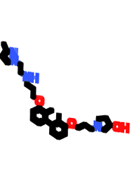 Cc1ccn(CCNCCCOc2cccc(-c3cccc(OCCCN4CCC(O)C4)c3C)c2C)n1